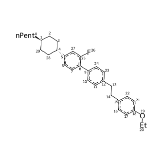 CCCCC[C@H]1CC[C@H](c2ccc(-c3ccc(CCc4ccc(OCC)cc4)cc3)c(F)c2)CC1